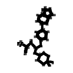 CC1(C)CCC(CN(Cc2ccc(-c3ccc4[nH]cnc4c3)cc2)OC(=O)C(F)(F)F)CC1